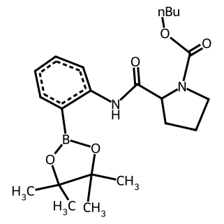 CCCCOC(=O)N1CCCC1C(=O)Nc1ccccc1B1OC(C)(C)C(C)(C)O1